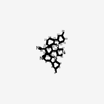 Cc1ccc2c(c1)c1ccccc1n2-c1cncc(-n2c3ccccc3c3cc(C)ccc32)c1-c1ccc(C#N)c(C#N)c1